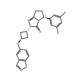 O=c1n2c(nn1[C@H]1C[C@H](Oc3ccc4sncc4c3)C1)CC[C@H]2c1cc(F)cc(F)c1